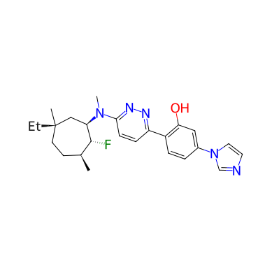 CC[C@]1(C)CC[C@H](C)[C@@H](F)[C@H](N(C)c2ccc(-c3ccc(-n4ccnc4)cc3O)nn2)C1